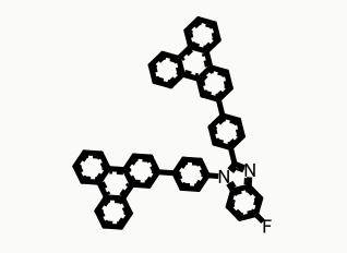 Fc1ccc2c(c1)nc(-c1ccc(-c3ccc4c5ccccc5c5ccccc5c4c3)cc1)n2-c1ccc(-c2ccc3c4ccccc4c4ccccc4c3c2)cc1